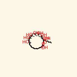 CCCCCC(O)C1C(=O)OC(C)C(O)/C=C/C=C/C=C/C=C/C=C(\C)C(O)CC(O)CC(O)CC(O)CC(O)CC(O)CC1O